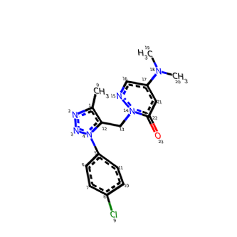 Cc1nnn(-c2ccc(Cl)cc2)c1Cn1ncc(N(C)C)cc1=O